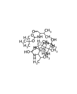 CC(C)C(C=O)NC(=O)OC(C)(C)C.CC(C)C(NC(=O)O)C(O)C(O)C(NC(=O)O)(C(C)(C)C)C(C)(C)C